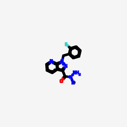 [N]N(N)C(=O)c1nn(Cc2ccccc2F)c2ncccc12